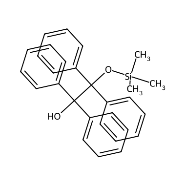 C[Si](C)(C)OC(c1ccccc1)(c1ccccc1)C(O)(c1ccccc1)c1ccccc1